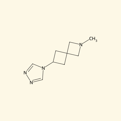 CN1CC2(CC(n3cnnc3)C2)C1